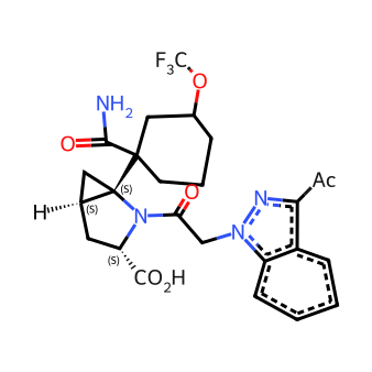 CC(=O)c1nn(CC(=O)N2[C@H](C(=O)O)C[C@H]3C[C@@]32C2(C(N)=O)CCCC(OC(F)(F)F)C2)c2ccccc12